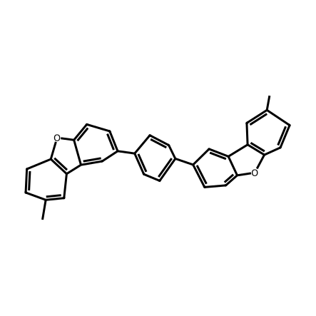 Cc1ccc2oc3ccc(-c4ccc(-c5ccc6oc7ccc(C)cc7c6c5)cc4)cc3c2c1